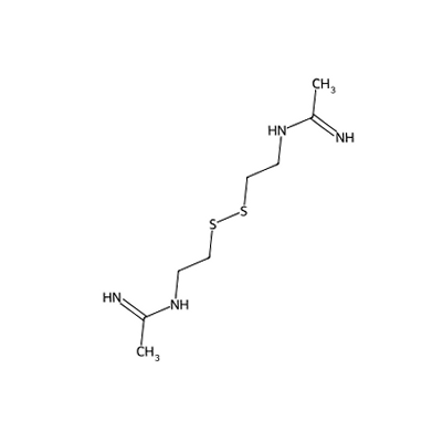 CC(=N)NCCSSCCNC(C)=N